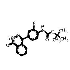 CC(C)(C)OC(=O)Nc1ccc(-c2n[nH]c(=O)c3ccccc23)cc1F